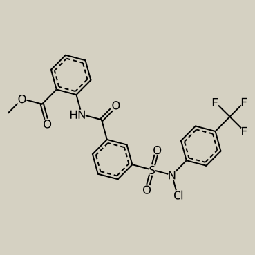 COC(=O)c1ccccc1NC(=O)c1cccc(S(=O)(=O)N(Cl)c2ccc(C(F)(F)F)cc2)c1